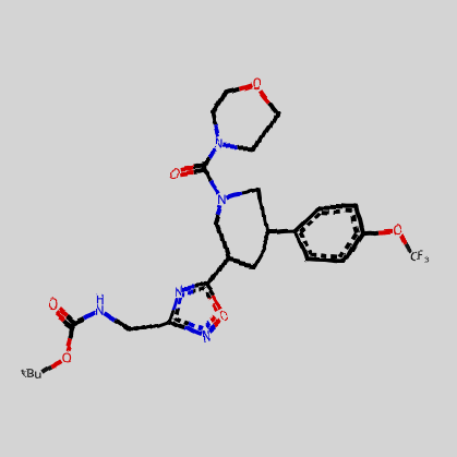 CC(C)(C)OC(=O)NCc1noc(C2CC(c3ccc(OC(F)(F)F)cc3)CN(C(=O)N3CCOCC3)C2)n1